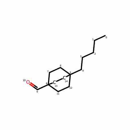 CCCCCC12CCC([C]=O)(CC1)CC2